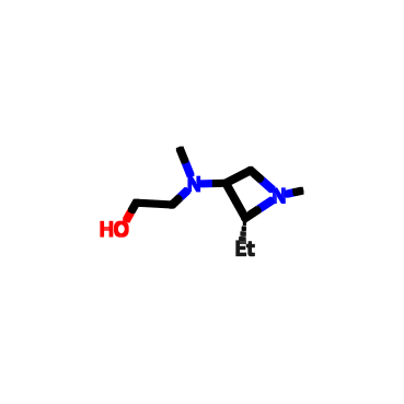 CC[C@@H]1C(N(C)CCO)CN1C